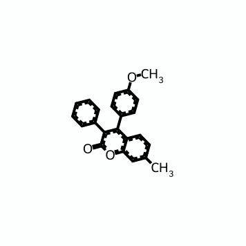 COc1ccc(-c2c(-c3ccccc3)c(=O)oc3cc(C)ccc23)cc1